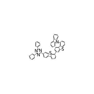 c1ccc(-c2nc(-c3ccccc3)nc(-c3ccc4c(c3)sc3c(-c5ccc6c(c5)sc5cccc(-n7c8ccccc8c8ccccc87)c56)cccc34)n2)cc1